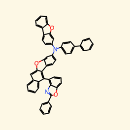 c1ccc(-c2ccc(N(c3ccc4c(c3)oc3ccccc34)c3ccc4c(c3)oc3cc5ccccc5c(-c5cccc6oc(-c7ccccc7)nc56)c34)cc2)cc1